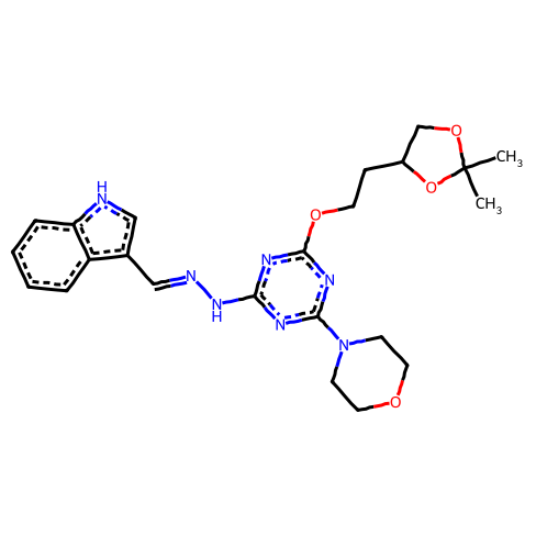 CC1(C)OCC(CCOc2nc(NN=Cc3c[nH]c4ccccc34)nc(N3CCOCC3)n2)O1